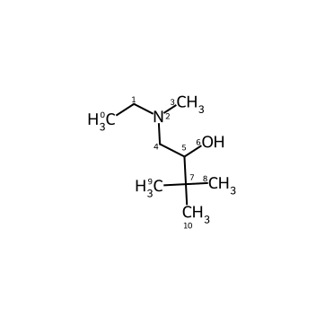 CCN(C)CC(O)C(C)(C)C